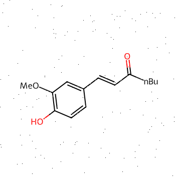 CCCCC(=O)C=Cc1ccc(O)c(OC)c1